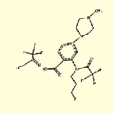 CN1CCN(c2ccc(C(=O)O)c(N(CCCF)C(=O)C(F)(F)F)c2)CC1.O=C(O)C(F)(F)F